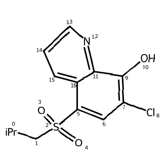 CC(C)CS(=O)(=O)c1cc(Cl)c(O)c2ncccc12